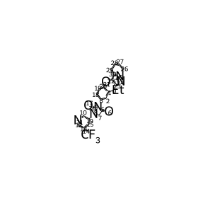 CCc1cc(N2C(=O)CN(c3cncc(C(F)(F)F)c3)C2=O)ccc1Oc1cnn2ccccc12